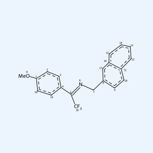 COc1ccc(/C(=N/Cc2ccc3ccccc3c2)C(F)(F)F)cc1